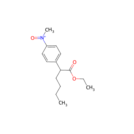 CCCCC(C(=O)OCC)c1ccc([N+](C)=O)cc1